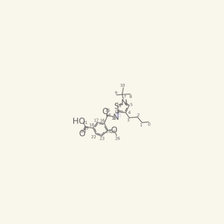 CCCCc1cn(C(C)(C)C)s/c1=N\C(=O)c1cc(C(=O)O)ccc1OC